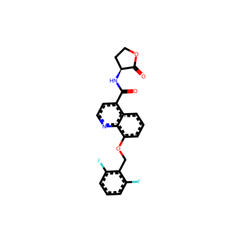 O=C(N[C@H]1CCOC1=O)c1ccnc2c(OCc3c(F)cccc3F)cccc12